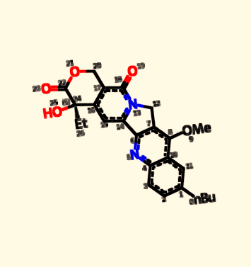 CCCCc1ccc2nc3c(c(OC)c2c1)Cn1c-3cc2c(c1=O)COC(=O)[C@]2(O)CC